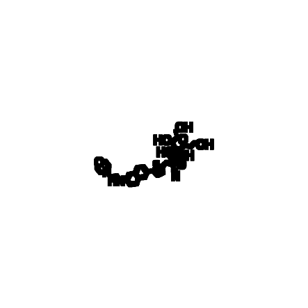 N#C/C(=C\c1ccc(-c2ccc3cc(NCCN4CCOCC4)ccc3c2)s1)S(=O)(=O)N[C@H]1C(CCO)O[C@H](CO)[C@@H](O)[C@@H]1O